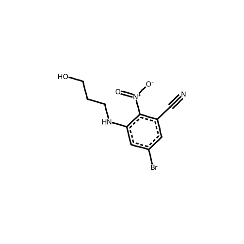 N#Cc1cc(Br)cc(NCCCO)c1[N+](=O)[O-]